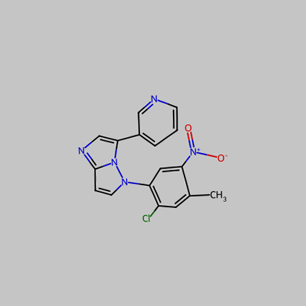 Cc1cc(Cl)c(-n2ccc3ncc(-c4cccnc4)n32)cc1[N+](=O)[O-]